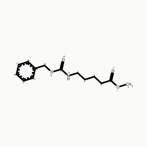 COC(=O)CCCCNC(=O)OCc1ccccc1